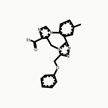 CCC(=O)c1ncn2c1Cn1c(COc3ccccc3)nnc1-c1cc(C)ccc1-2